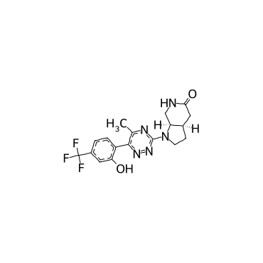 Cc1nc(N2CC[C@@H]3CC(=O)NC[C@@H]32)nnc1-c1ccc(C(F)(F)F)cc1O